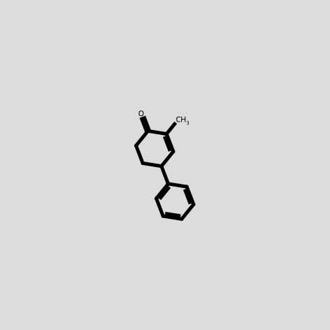 CC1=CC(c2ccccc2)CCC1=O